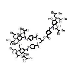 CCCCC(CC)CN(CC(CC)CCCC)c1cc(NC(=O)C(CC)CCCC)c(/N=N/c2ccc(C(=O)OCC(COC(=O)c3ccc(/N=N/c4cc(OCC)c(N(CC(CC)CCCC)CC(CC)CCCC)cc4NC(=O)C(CC)CCCC)cc3)COC(=O)c3ccc(/N=N/c4cc(OCC)c(N(CC(CC)CCCC)CC(CC)CCCC)cc4NC(=O)C(CC)CCCC)cc3)cc2)cc1OCC